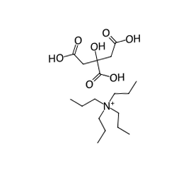 CCC[N+](CCC)(CCC)CCC.O=C(O)CC(O)(CC(=O)O)C(=O)O